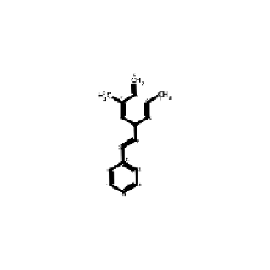 C=CC(C)=CC(C=CC)C=Cc1ccccc1